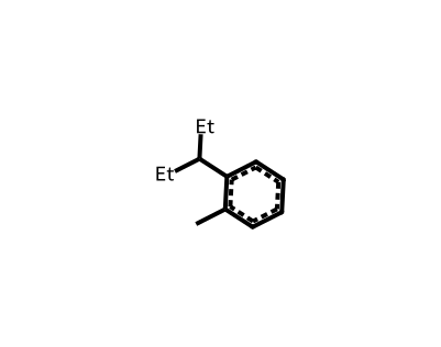 CCC(CC)c1ccccc1C